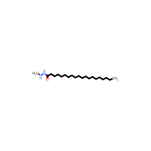 CCCCCCCCCCCCCCCCCCCC(=O)NNC